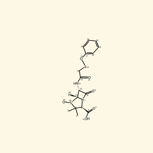 CC1(C)[C@H](C(=O)O)N2C(=O)[C@@H](NC(=O)CSOc3ccccc3)[C@H]2[S+]1[O-]